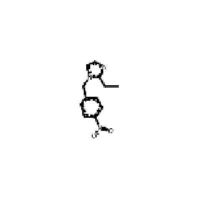 CCc1nccn1Cc1ccc([N+](=O)[O-])cc1